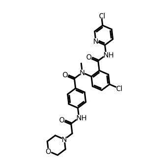 CN(C(=O)c1ccc(NC(=O)CN2CCOCC2)cc1)c1ccc(Cl)cc1C(=O)Nc1ccc(Cl)cn1